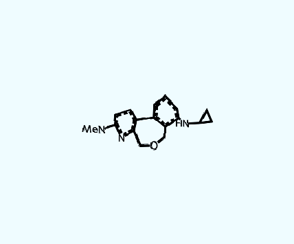 CNc1ccc2c(n1)COCc1c(NC3CC3)cccc1-2